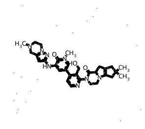 CN1CCn2nc(Nc3cc(-c4ccnc(N5CCN6C7=C(CC6C5=O)CC(C)(C)C7)c4CO)cn(C)c3=O)cc2C1